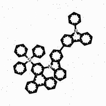 c1ccc(-n2c3ccccc3c3cc(-c4ccc5c(c4)c4ccccc4n5-c4cc([Si](c5ccccc5)(c5ccccc5)c5ccccc5)cc5c6ccccc6c6ccccc6c45)ccc32)cc1